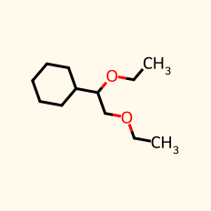 CCOCC(OCC)C1CCCCC1